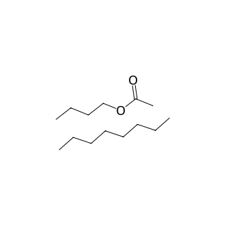 CCCCCCCC.CCCCOC(C)=O